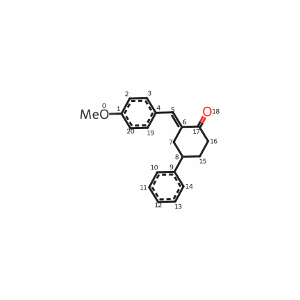 COc1ccc(C=C2CC(c3ccccc3)CCC2=O)cc1